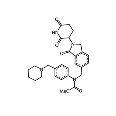 COC(=O)N(Cc1ccc2c(c1)C(=O)N(C1CCC(=O)NC1=O)C2)c1ccc(CN2CCCCC2)cc1